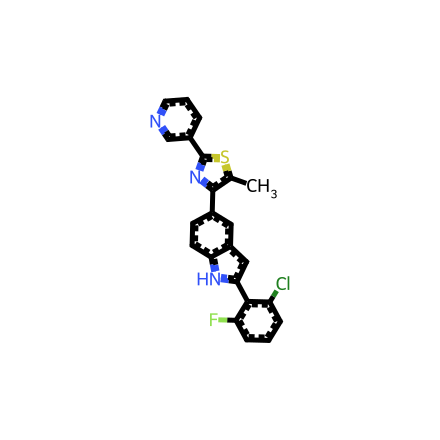 Cc1sc(-c2cccnc2)nc1-c1ccc2[nH]c(-c3c(F)cccc3Cl)cc2c1